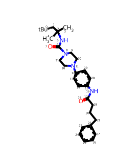 CC(C)(C)CC(C)(C)NC(=O)N1CCN(c2ccc(NC(=O)CCCc3ccccc3)cc2)CC1